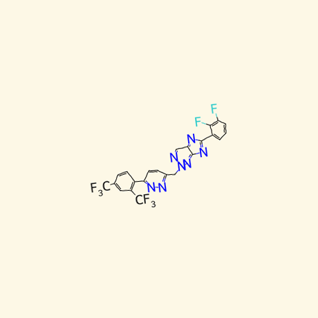 Fc1cccc(-c2nc3cnn(Cc4ccc(-c5ccc(C(F)(F)F)cc5C(F)(F)F)nn4)nc-3n2)c1F